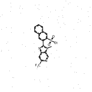 CCS(=O)(=O)c1cc2ccccc2cc1-c1nc2cc(C(F)(F)F)ncc2n1C